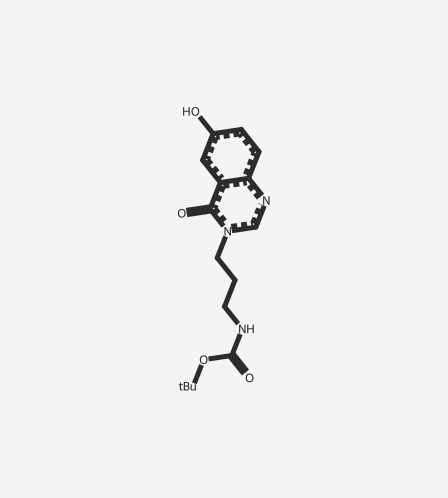 CC(C)(C)OC(=O)NCCCn1cnc2ccc(O)cc2c1=O